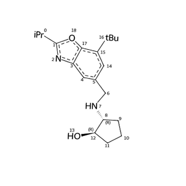 CC(C)c1nc2cc(CN[C@@H]3CCC[C@H]3O)cc(C(C)(C)C)c2o1